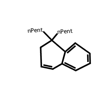 CCCCCC1(CCCCC)CC=Cc2ccccc21